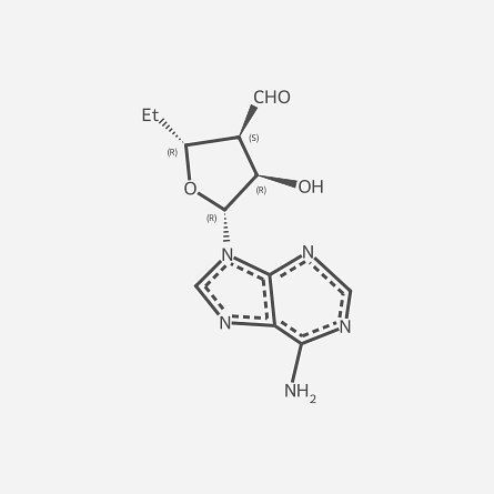 CC[C@H]1O[C@@H](n2cnc3c(N)ncnc32)[C@H](O)[C@@H]1C=O